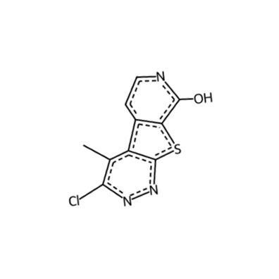 Cc1c(Cl)nnc2sc3c(O)nccc3c12